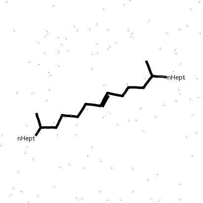 [CH2]CCCCCCC(C)CCCC=CCCCCC(C)CCCCCC[CH2]